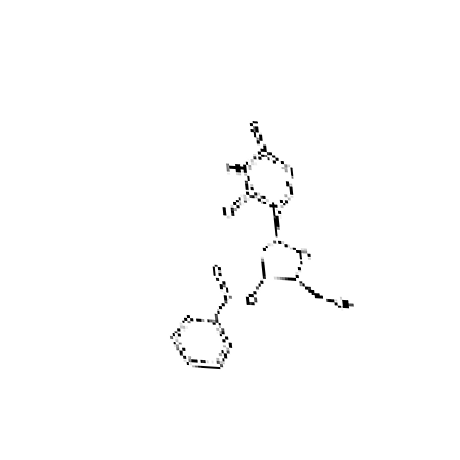 O=C(OC1C[C@@H](n2ccc(=S)[nH]c2=O)O[C@H]1CO)c1ccccc1